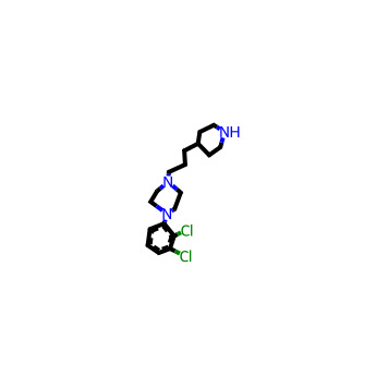 Clc1cccc(N2CCN(CCCC3CCNCC3)CC2)c1Cl